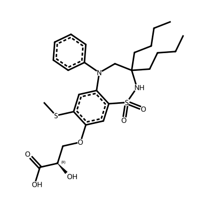 CCCCC1(CCCC)CN(c2ccccc2)c2cc(SC)c(OC[C@@H](O)C(=O)O)cc2S(=O)(=O)N1